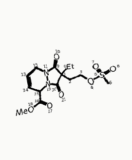 CCC1(CCOS(C)(=O)=O)C(=O)N2CC=CC(C(=O)OC)N2C1=O